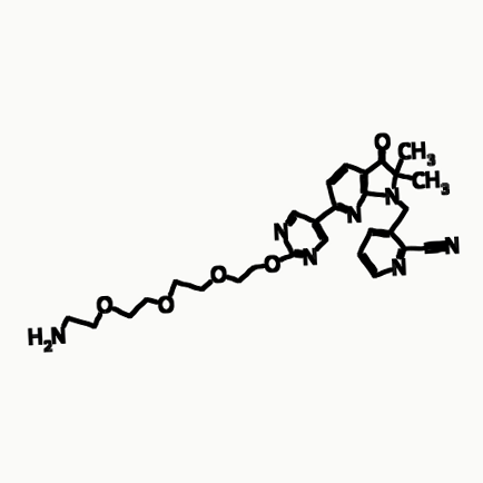 CC1(C)C(=O)c2ccc(-c3cnc(OCCOCCOCCOCCN)nc3)nc2N1Cc1cccnc1C#N